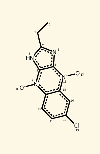 CCc1nc2c([nH]1)[n+]([O-])c1ccc(Cl)cc1[n+]2[O-]